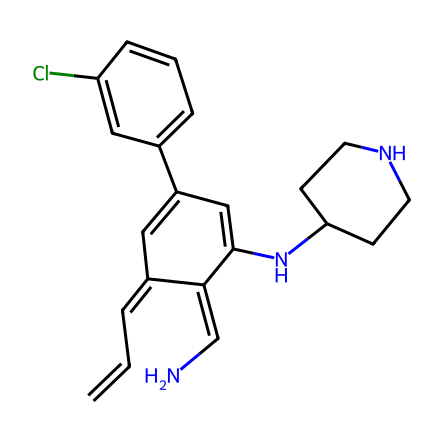 C=C/C=c1/cc(-c2cccc(Cl)c2)cc(NC2CCNCC2)/c1=C/N